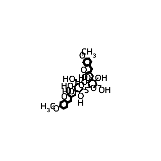 COc1ccc2cc(C[C@]3(O)[C@@H](O)[C@@H](CO)O[C@@H](S[C@@H]4O[C@H](CO)[C@H](O)[C@@](O)(Cc5cc6ccc(OC)cc6oc5=O)[C@H]4O)[C@@H]3O)c(=O)oc2c1